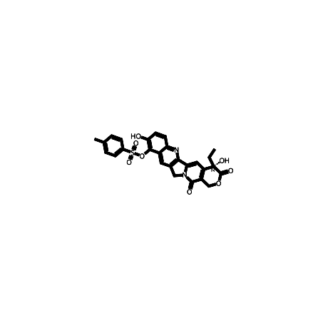 CC[C@@]1(O)C(=O)OCc2c1cc1n(c2=O)Cc2cc3c(OS(=O)(=O)c4ccc(C)cc4)c(O)ccc3nc2-1